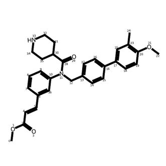 COC(=O)/C=C/c1cccc(N(Cc2ccc(-c3ccc(OC)c(C)c3)cc2)C(=O)C2CCNCC2)c1